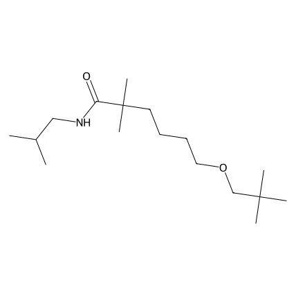 CC(C)CNC(=O)C(C)(C)CCCCOCC(C)(C)C